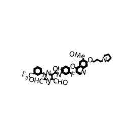 COc1cc2c(Oc3ccc(NC(=O)C4=NN(c5cccc(C(F)(F)F)c5)C(C=O)N(C)C4C=O)cc3F)ccnc2cc1OCCCN1CCCC1